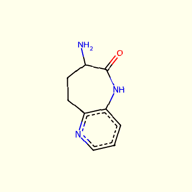 NC1CCc2ncccc2NC1=O